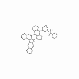 O=S(=O)(c1ccccc1)c1cncc(-c2c3ccccc3c(-c3cc4ccccc4c4c3oc3cc5ccccc5cc34)c3ccccc23)c1